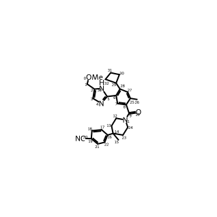 COCc1cnc(-c2cc(C(=O)N3CCC(C)(c4ccc(C#N)cc4)CC3)c(C)cc2C2CCC2)[nH]1